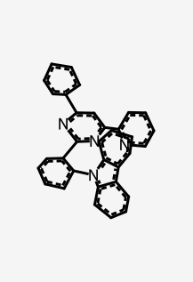 c1ccc(-c2cc(-c3ccccn3)nc(-c3ccccc3-n3c4ccccc4c4ccccc43)n2)cc1